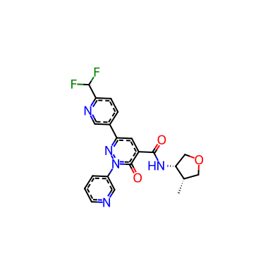 C[C@H]1COC[C@H]1NC(=O)c1cc(-c2ccc(C(F)F)nc2)nn(-c2cccnc2)c1=O